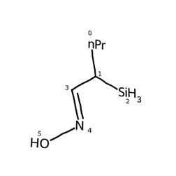 CCCC([SiH3])C=NO